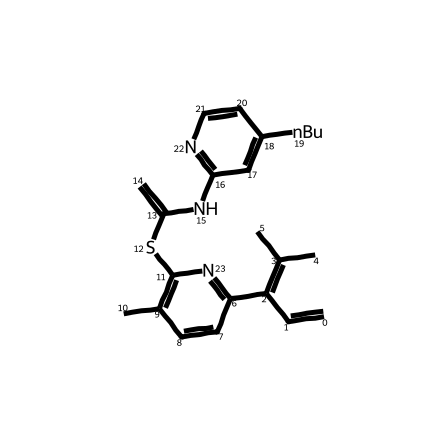 C=CC(=C(C)C)c1ccc(C)c(SC(=C)Nc2cc(CCCC)ccn2)n1